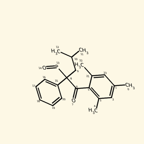 Cc1cc(C)c(C(=O)C(CC(C)C)(P=O)c2ccccc2)c(C)c1